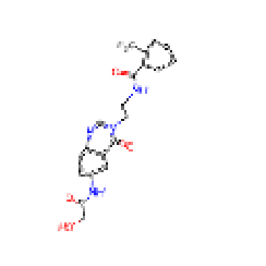 O=C(CO)Nc1ccc2ncn(CCNC(=O)c3ccccc3C(F)(F)F)c(=O)c2c1